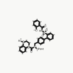 CCCCCN(Cc1ccc(-c2ccccc2S(=O)(=O)NC(=O)c2ccccc2Cl)cc1)C(=O)N1CCN(C(C)=O)c2ccccc21